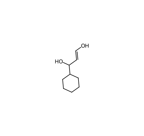 OC=CC(O)C1CCCCC1